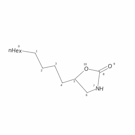 CCCCCCCCCCC1CNC(=O)O1